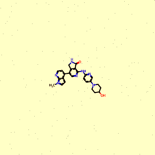 Cn1ccc2c(-c3cnc(Nc4ccc(N5CCC(O)CC5)cn4)c4c3CNC4=O)ccnc21